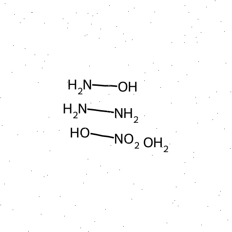 NN.NO.O.O=[N+]([O-])O